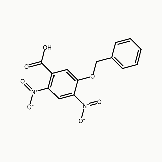 O=C(O)c1cc(OCc2ccccc2)c([N+](=O)[O-])cc1[N+](=O)[O-]